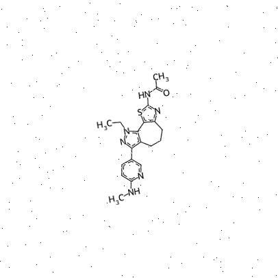 CCn1nc(-c2ccc(NC)nc2)c2c1-c1sc(NC(C)=O)nc1CCC2